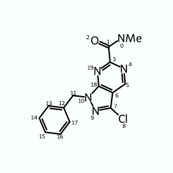 CNC(=O)c1ncc2c(Cl)nn(Cc3ccccc3)c2n1